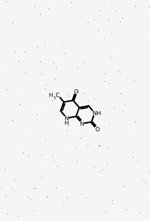 Cc1c[nH]c2nc(=O)[nH]cc2c1=O